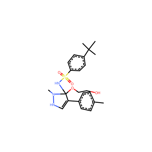 Cc1ccc(C2=CNN(C)C2(NS(=O)(=O)c2ccc(C(C)(C)C)cc2)OCCO)cc1